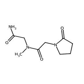 CN(CC(N)=O)C(=O)CN1CCCC1=O